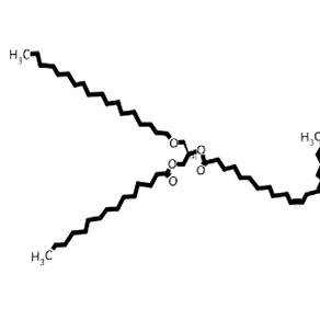 CCCCC/C=C\C/C=C\CCCCCCCCCC(=O)O[C@H](COCCCCCCCCCCCCCCCCCC)COC(=O)CCCCCCCCCCCCCC